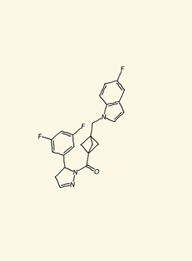 O=C(N1N=CCC1c1cc(F)cc(F)c1)C12CC(Cn3ccc4cc(F)ccc43)(C1)C2